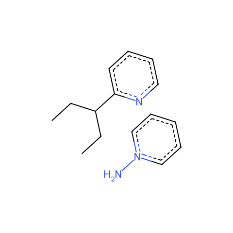 CCC(CC)c1ccccn1.N[n+]1ccccc1